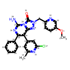 COc1ccc(Cn2nc3c(-c4cc(C)nc(Cl)c4)c(-c4ccccc4)nc(N)n3c2=O)nc1